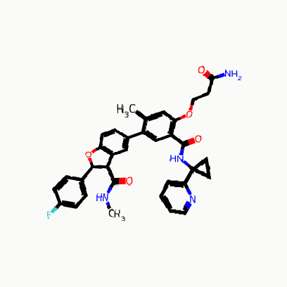 CNC(=O)C1c2cc(-c3cc(C(=O)NC4(c5ccccn5)CC4)c(OCCC(N)=O)cc3C)ccc2OC1c1ccc(F)cc1